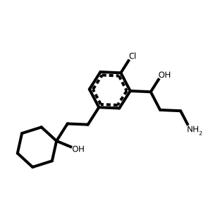 NCCC(O)c1cc(CCC2(O)CCCCC2)ccc1Cl